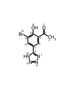 CC(=O)c1cc(-c2nnn[nH]2)cc(Br)c1O